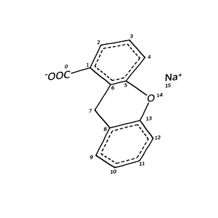 O=C([O-])c1cccc2c1Cc1ccccc1O2.[Na+]